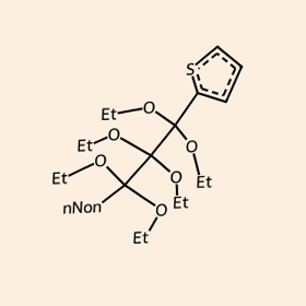 CCCCCCCCCC(OCC)(OCC)C(OCC)(OCC)C(OCC)(OCC)c1cccs1